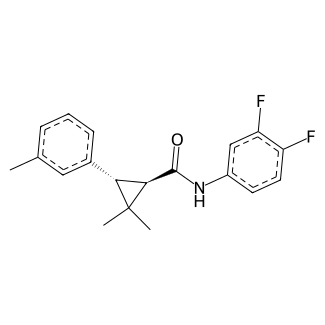 Cc1cccc([C@@H]2[C@@H](C(=O)Nc3ccc(F)c(F)c3)C2(C)C)c1